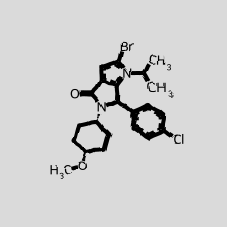 CO[C@H]1CC[C@H](N2C(=O)c3cc(Br)n(C(C)C)c3C2c2ccc(Cl)cc2)CC1